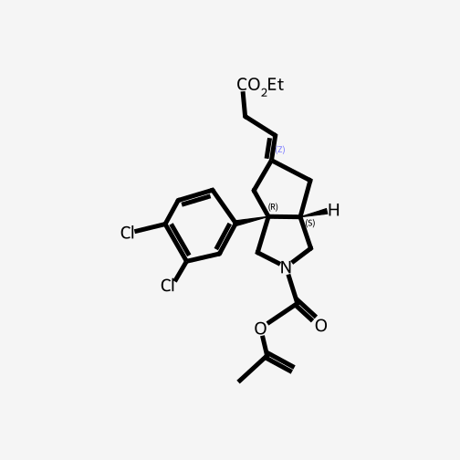 C=C(C)OC(=O)N1C[C@H]2C/C(=C/CC(=O)OCC)C[C@@]2(c2ccc(Cl)c(Cl)c2)C1